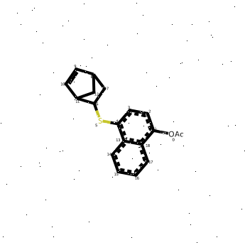 CC(=O)Oc1ccc(SC2CC3C=CC2C3)c2ccccc12